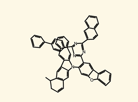 CC1CC=Cc2cc3c(cc21)c1cc2ccccc2cc1n3-c1cc2oc3ccccc3c2cc1-c1nc(-c2ccc(-c3ccccc3)cc2)nc(-c2ccc3ccccc3c2)n1